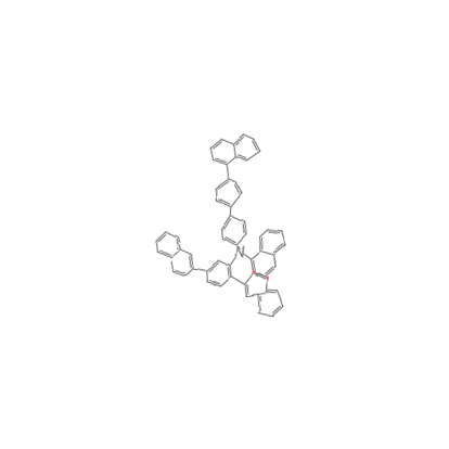 c1ccc2cc(-c3ccc(-c4ccc5ccccc5c4)c(N(c4ccc(-c5ccc(-c6cccc7ccccc67)cc5)cc4)c4cccc5ccccc45)c3)ccc2c1